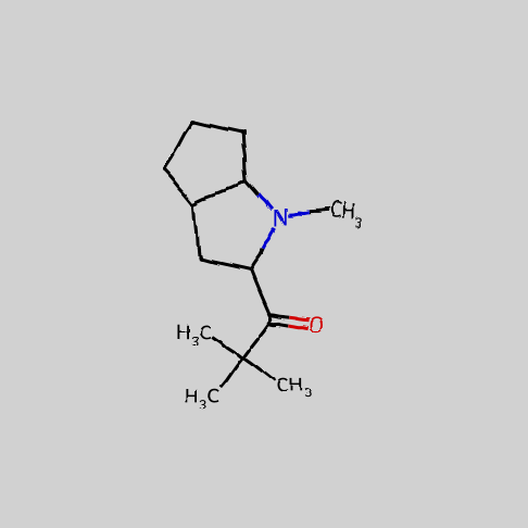 CN1C(C(=O)C(C)(C)C)CC2CCCC21